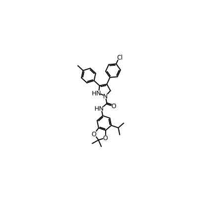 Cc1ccc(C2=C(c3ccc(Cl)cc3)CN(C(=O)Nc3cc4c(c(C(C)C)c3)OC(C)(C)O4)N2)cc1